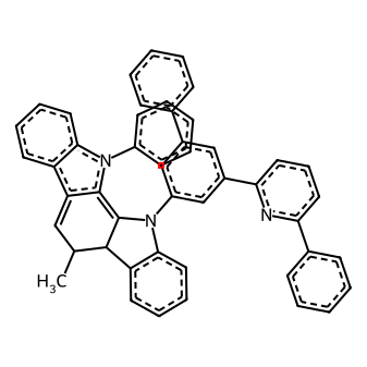 CC1C=c2c(n(-c3ccccc3)c3ccccc23)=C2C1c1ccccc1N2c1cc(-c2ccccc2)cc(-c2cccc(-c3ccccc3)n2)c1